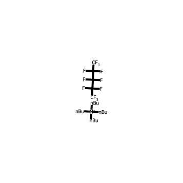 CCCC[N+](CCCC)(CCCC)CCCC.FC(F)(F)C(F)(F)C(F)(F)C(F)(F)C(F)(F)F